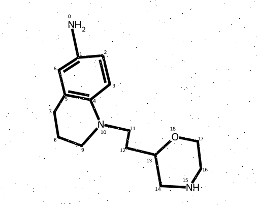 Nc1ccc2c(c1)CCCN2CCC1CNCCO1